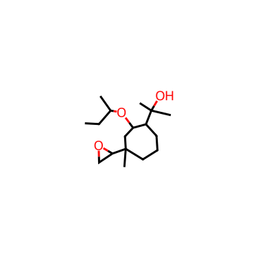 CCC(C)OC1CC(C)(C2CO2)CCCC1C(C)(C)O